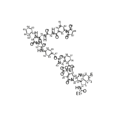 CCC(=O)N[C@H]1Cc2c(C)c(F)cc3nc4c(c1c23)Cn1c-4cc2c(c1=O)COC(=O)[C@@]2(CC)OC(=O)c1ccccc1CN(C)C(=O)OCc1ccc(NC(=O)CNC(=O)[C@H](Cc2ccccc2)NC(=O)CNC(=O)CNC(=O)c2cc(C)cc(N3C(=O)C=CC3=O)c2)cc1